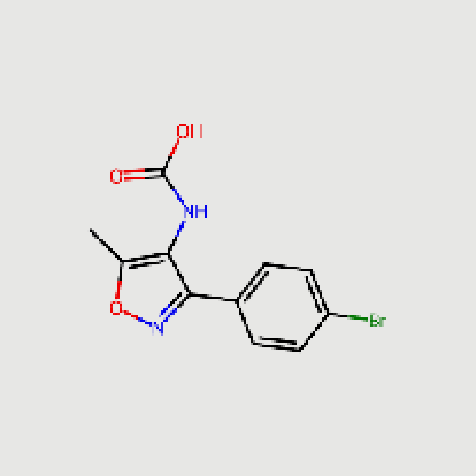 Cc1onc(-c2ccc(Br)cc2)c1NC(=O)O